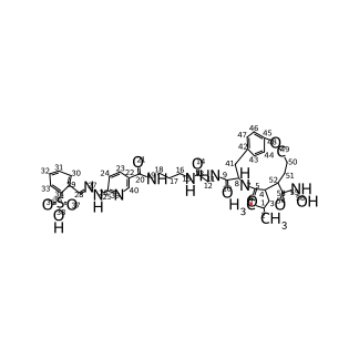 CC(C)CC1C(=O)NC(C(=O)NCC(=O)NCCCNC(=O)c2ccc(NN=Cc3ccccc3S(=O)(=O)O)nc2)Cc2ccc(cc2)OCCCC1C(=O)NO